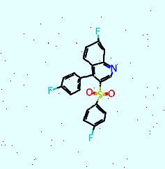 O=S(=O)(c1ccc(F)cc1)c1cnc2cc(F)ccc2c1-c1ccc(F)cc1